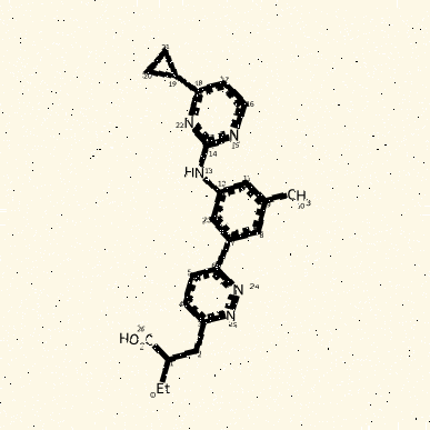 CCC(Cc1ccc(-c2cc(C)cc(Nc3nccc(C4CC4)n3)c2)nn1)C(=O)O